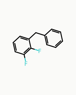 Fc1cccc(Cc2ccccc2)c1F